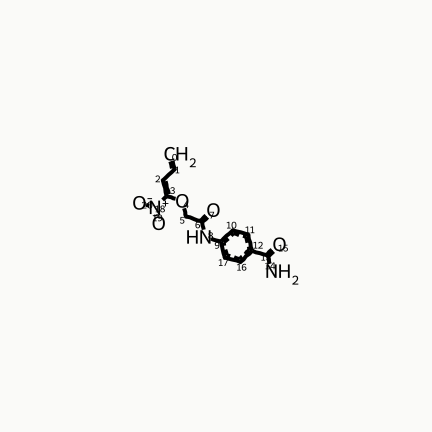 C=C/C=C(\OCC(=O)Nc1ccc(C(N)=O)cc1)[N+](=O)[O-]